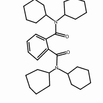 O=C(c1ccccc1C(=O)N(C1CCCCC1)C1CCCCC1)N(C1CCCCC1)C1CCCCC1